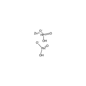 O=[PH]([O-])O.O=[PH]([O-])O.[Zn+2]